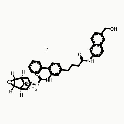 C[N+]1(C)[C@@H]2C[C@@H](OC(=O)Nc3cc(CCCC(=O)Nc4ccc5cc(CO)ccc5c4)ccc3-c3ccccc3)C[C@H]1[C@@H]1O[C@@H]12.[I-]